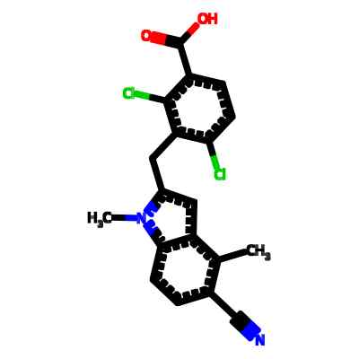 Cc1c(C#N)ccc2c1cc(Cc1c(Cl)ccc(C(=O)O)c1Cl)n2C